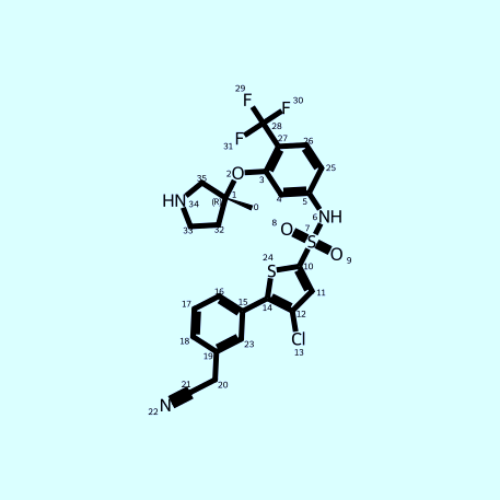 C[C@@]1(Oc2cc(NS(=O)(=O)c3cc(Cl)c(-c4cccc(CC#N)c4)s3)ccc2C(F)(F)F)CCNC1